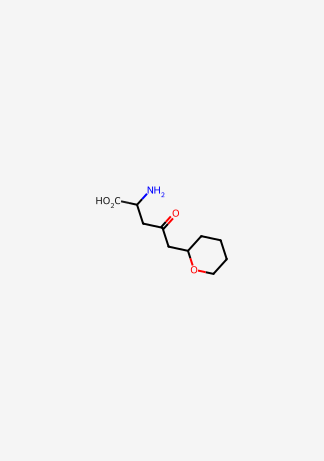 NC(CC(=O)CC1CCCCO1)C(=O)O